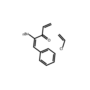 C=CC(=O)C(=Cc1ccccc1)CCCC.C=CCl